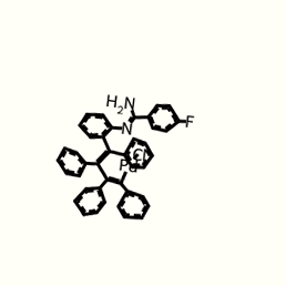 N/C(=N\c1ccccc1/C(=C(/C(=[C](\[Pd][Cl])c1ccccc1)c1ccccc1)c1ccccc1)c1ccccc1)c1ccc(F)cc1